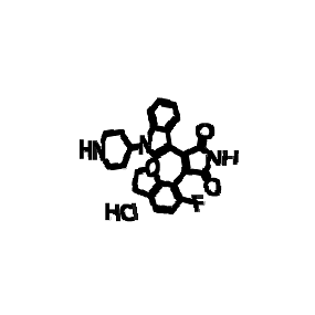 Cl.O=C1NC(=O)C(c2cn(C3CCNCC3)c3ccccc23)=C1c1c(F)ccc2c1OCC2